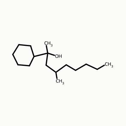 CCCCCC(C)CC(C)(O)C1CCCCC1